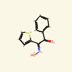 O=C(/C(=N/O)c1cccs1)c1ccccc1